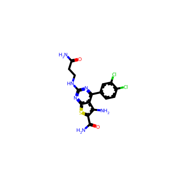 NC(=O)CCNc1nc(-c2ccc(Cl)c(Cl)c2)c2c(N)c(C(N)=O)sc2n1